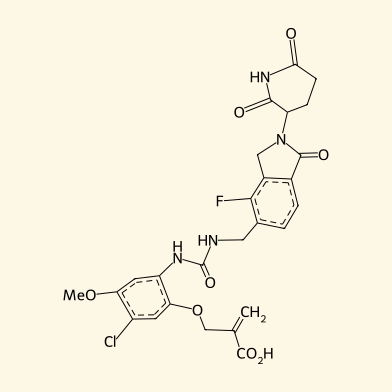 C=C(COc1cc(Cl)c(OC)cc1NC(=O)NCc1ccc2c(c1F)CN(C1CCC(=O)NC1=O)C2=O)C(=O)O